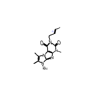 C/C=C/Cn1c(=O)c2c(nc3n(C(C)CC)c(C)c(C)n23)n(C)c1=O